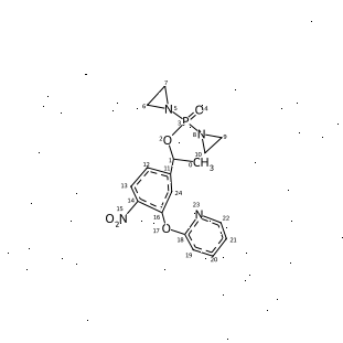 CC(OP(=O)(N1CC1)N1CC1)c1ccc([N+](=O)[O-])c(Oc2ccccn2)c1